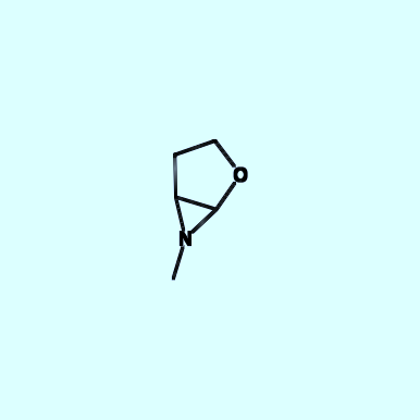 CN1C2CCOC21